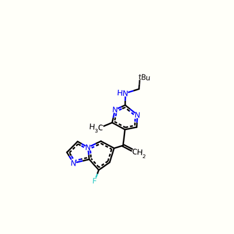 C=C(c1cc(F)c2nccn2c1)c1cnc(NCC(C)(C)C)nc1C